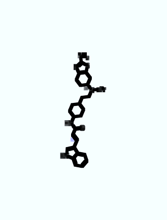 CCCN(CCC1CCC(NC(=O)/C=C/c2c[nH]c3ccccc23)CC1)[C@H]1CCc2nc(N)sc2C1